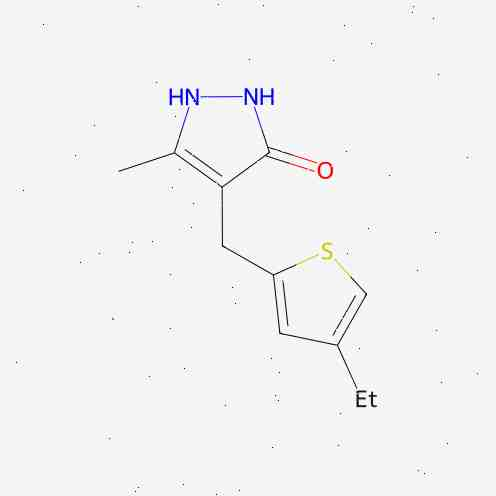 CCc1csc(Cc2c(C)[nH][nH]c2=O)c1